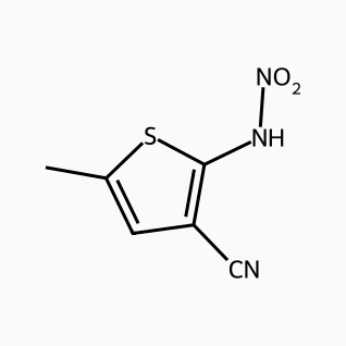 Cc1cc(C#N)c(N[N+](=O)[O-])s1